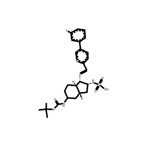 CC(C)(C)OC(=O)NC1CC[C@@H]2[C@@H](C1)C[C@@H](NS(=O)(=O)O)[C@H]2/C=C/c1ccc(-c2cccc(F)c2)cn1